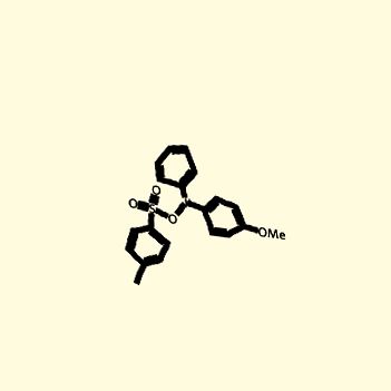 COc1ccc([I+](OS(=O)(=O)c2ccc(C)cc2)c2ccccc2)cc1